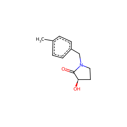 Cc1ccc(CN2CC[C@@H](O)C2=O)cc1